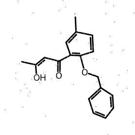 CC(O)=CC(=O)c1cc(C)ccc1OCc1ccccc1